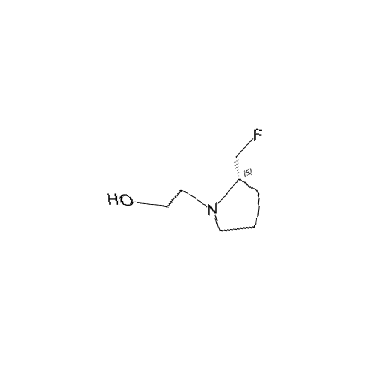 OCCN1CCC[C@H]1CF